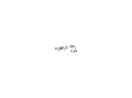 O.O.[BaH2].[CsH]